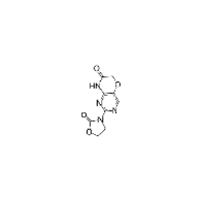 O=C1COc2cnc(N3CCOC3=O)nc2N1